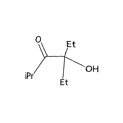 CCC(O)(CC)C(=O)C(C)C